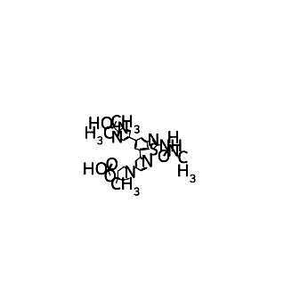 CCNC(=O)Nc1nc2cc(-c3cnc(C(C)(C)O)nc3)cc(-c3cc(N4CCC(C)(OC(=O)O)CC4)ccn3)c2s1